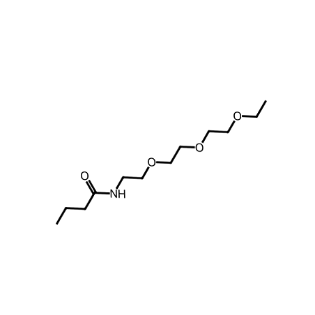 CCCC(=O)NCCOCCOCCOCC